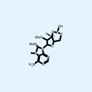 CNC1N(C)c2c(N)ncnc2N1C1OC2COP(O)O[C@H]2C1OC